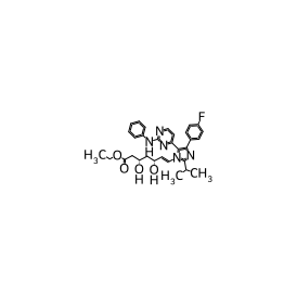 CCOC(=O)C[C@@H](O)C[C@@H](O)C=Cn1c(C(C)C)nc(-c2ccc(F)cc2)c1-c1ccnc(Nc2ccccc2)n1